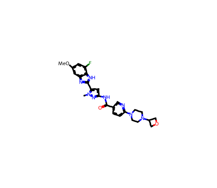 COc1cc(F)c2[nH]c(-c3cc(NC(=O)c4ccc(N5CCN(C6COC6)CC5)nc4)nn3C)nc2c1